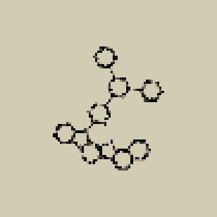 c1ccc(-c2cc(-c3ccccc3)cc(-c3cnc(-n4c5ccccc5c5ccc6c7ccc8ccccc8c7oc6c54)nc3)c2)cc1